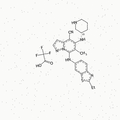 CCc1nc2ccc(Nc3c(C)c(N[C@H]4CCCNC4)c(C#N)c4ccnn34)cc2s1.O=C(O)C(F)(F)F